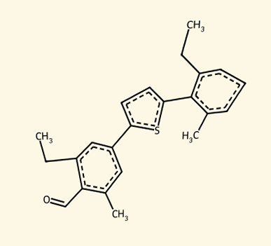 CCc1cc(-c2ccc(-c3c(C)cccc3CC)s2)cc(C)c1C=O